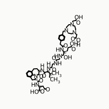 CC[C@H](C)[C@H](NC(=O)CNC(=O)CNC(O)[C@H](CCC(=O)O)NC(=O)Cc1ccc(CN2CCN(CC(=O)O)CCN(CC(=O)O)CC2)cc1)C(=O)N[C@H]1CCc2cccc3c2N(C1=O)[C@H](C(=O)N[C@H]1CC(=O)O[C@H]1O)C3